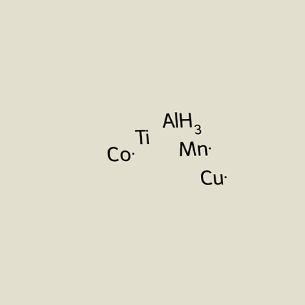 [AlH3].[Co].[Cu].[Mn].[Ti]